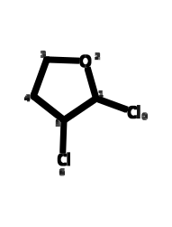 Cl[C]1OCCC1Cl